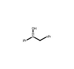 CCCC[SiH](O)C(C)C